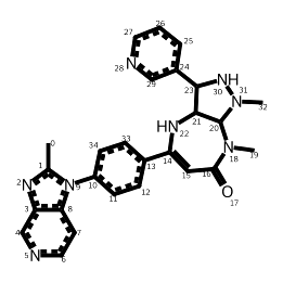 Cc1nc2cnccc2n1-c1ccc(C2=CC(=O)N(C)C3C(N2)C(c2cccnc2)NN3C)cc1